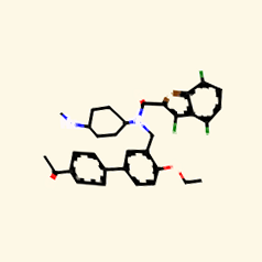 CCOc1ccc(-c2ccc(C(C)=O)cc2)cc1CN(C(=O)c1sc2c(F)ccc(F)c2c1Cl)C1CCC(NC)CC1